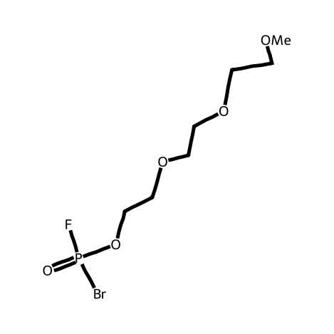 COCCOCCOCCOP(=O)(F)Br